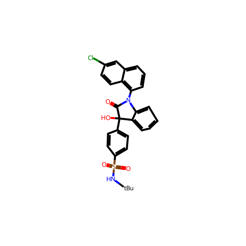 CC(C)(C)NS(=O)(=O)c1ccc(C2(O)C(=O)N(c3cccc4cc(Cl)ccc34)c3ccccc32)cc1